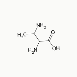 CC(N)C(N)C(=O)O